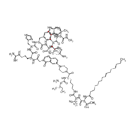 CCCCCCCCCCCCCCCC(=O)N[C@H](C(=O)N[C@H](C(=O)NCCCC[C@H](NC(=O)[C@@H](N)[C@@H](C)CC)C(=O)N1CCN(c2ccc3ncn(CC(=O)N[C@@H](CCCNC(=N)N)C(=O)N[C@@H](Cc4c[nH]cn4)C(=O)N[C@@H](Cc4ccc(O)cc4)C(=O)N[C@@H](CC(C)C)C(=O)N[C@@H](CC(N)=O)C(=O)N[C@@H](Cc4c[nH]c5ccccc45)C(=O)N[C@H](C(=O)NC)C(C)C)c(=O)c3c2)CC1)[C@@H](C)O)[C@@H](C)O